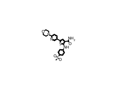 CS(=O)(=O)c1ccc(Nc2sc(-c3ccc(N4CCOCC4)nc3)cc2C(N)=O)cc1